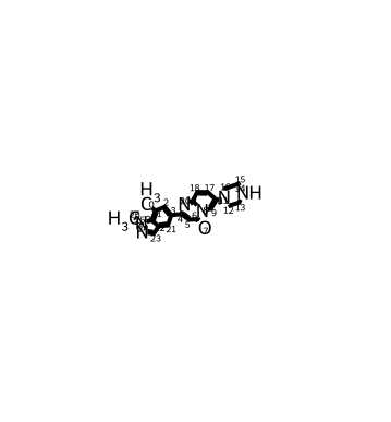 Cc1cc(-c2cc(=O)n3cc(N4CCNCC4)ccc3n2)cc2cnn(C)c12